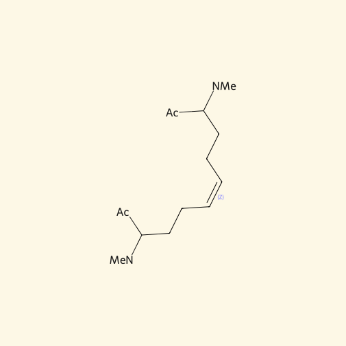 CNC(CC/C=C\CCC(NC)C(C)=O)C(C)=O